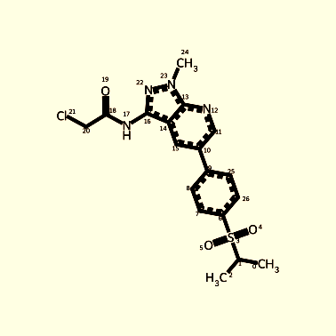 CC(C)S(=O)(=O)c1ccc(-c2cnc3c(c2)c(NC(=O)CCl)nn3C)cc1